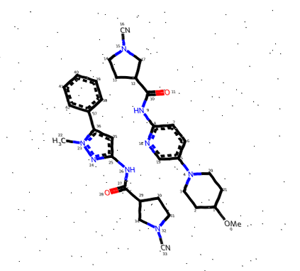 COC1CCN(c2ccc(NC(=O)C3CCN(C#N)C3)nc2)CC1.Cn1nc(NC(=O)C2CCN(C#N)C2)cc1-c1ccccc1